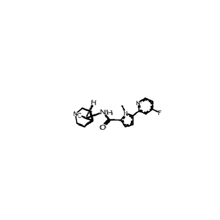 Cn1c(C(=O)N[C@H]2CN3CCC2CC3)ccc1-c1cc(F)ccn1